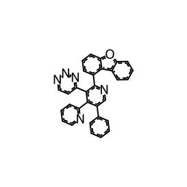 c1ccc(-c2cnc(-c3cccc4oc5ccccc5c34)c(-c3ccnnn3)c2-c2ccccn2)cc1